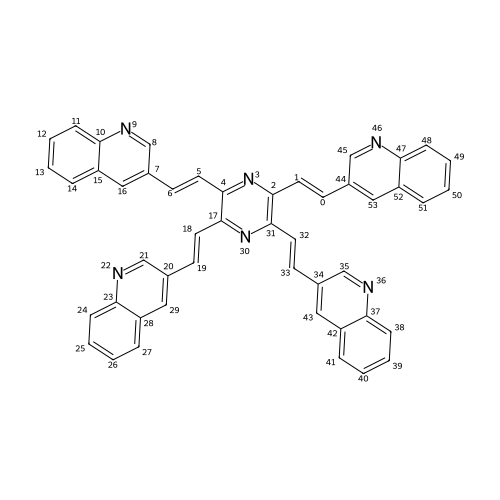 C(=C\c1nc(/C=C/c2cnc3ccccc3c2)c(/C=C/c2cnc3ccccc3c2)nc1/C=C/c1cnc2ccccc2c1)/c1cnc2ccccc2c1